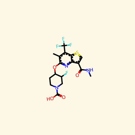 CNC(=O)c1csc2c(C(F)(F)F)c(C)c(OC3CCN(C(=O)O)CC3F)nc12